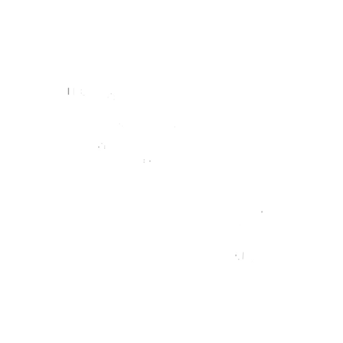 COC(=O)C1(Oc2ccc(C(C)Cl)cc2)CC1